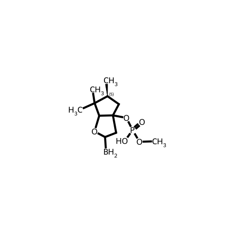 BC1CC2(OP(=O)(O)OC)C[C@H](C)C(C)(C)C2O1